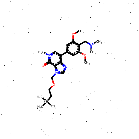 COc1cc(-c2cn(C)c(=O)c3c2ncn3COCC[Si](C)(C)C)cc(OC)c1CN(C)C